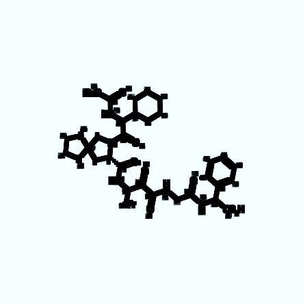 CCCC(NC(=O)[C@@H]1CC2(CN1C(=O)C(NC(=O)OCC(C)C)C1CCCCC1)SCCS2)C(=O)C(=O)NCC(=O)NC(C(=O)O)c1ccccc1